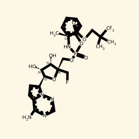 C[C@H](NP(=O)(OC[C@@]1(CF)O[C@@H](c2ccc3c(N)ncnn23)[C@H](O)[C@@H]1O)Oc1ccccc1)C(=O)OCC(C)(C)C(F)(F)F